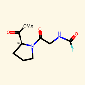 COC(=O)[C@@H]1CCCN1C(=O)CNC(=O)F